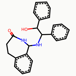 O=C1CCc2ccccc2C(NC(c2ccccc2)C(O)c2ccccc2)N1